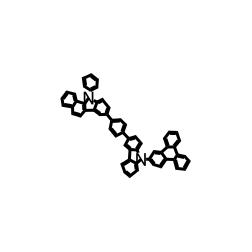 c1ccc(-n2c3ccc(-c4ccc(-c5ccc6c(c5)c5ccccc5n6-c5ccc6c7ccccc7c7ccccc7c6c5)cc4)cc3c3ccc4ccccc4c32)cc1